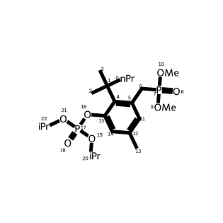 CCCC(C)(C)c1c(CP(=O)(OC)OC)cc(C)cc1OP(=O)(OC(C)C)OC(C)C